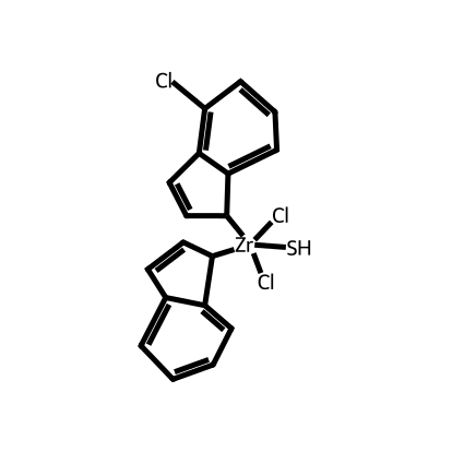 [SH][Zr]([Cl])([Cl])([CH]1C=Cc2ccccc21)[CH]1C=Cc2c(Cl)cccc21